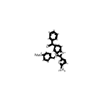 COc1ccc(Cn2c(-c3ccc(C)o3)nc3ccc(C(=O)c4ccccc4)cc32)cc1